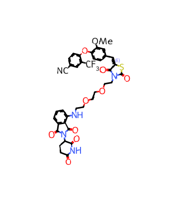 COc1cc(/C=C2/SC(=O)N(CCOCCOCCNc3cccc4c3C(=O)N(C3CCC(=O)NC3=O)C4=O)C2=O)ccc1Oc1ccc(C#N)cc1C(F)(F)F